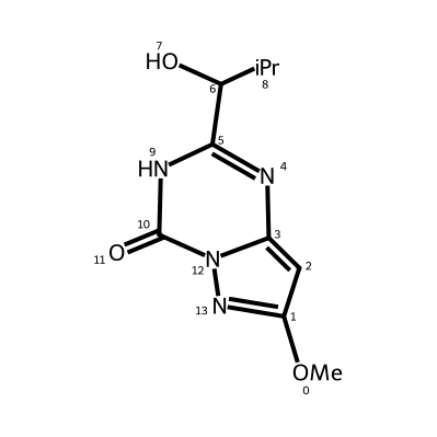 COc1cc2nc(C(O)C(C)C)[nH]c(=O)n2n1